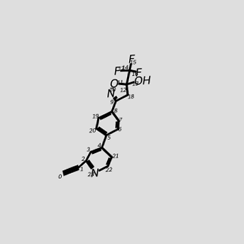 C#Cc1cc(-c2ccc(C3=NOC(O)(C(F)(F)F)C3)cc2)ccn1